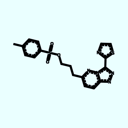 Cc1ccc(S(=O)(=O)OCCCc2ccc3nnc(-c4nccs4)n3n2)cc1